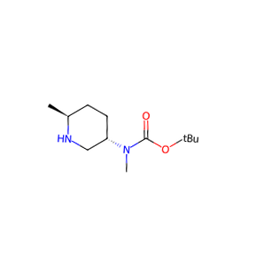 C[C@H]1CC[C@H](N(C)C(=O)OC(C)(C)C)CN1